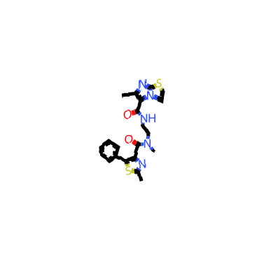 Cc1nc(C(=O)N(C)CCNC(=O)c2c(C)nc3sccn23)c(-c2ccccc2)s1